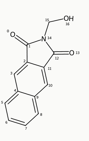 O=C1c2cc3ccccc3cc2C(=O)N1CO